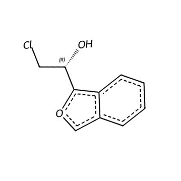 O[C@@H](CCl)c1occ2ccccc12